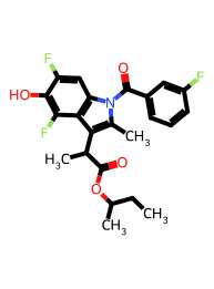 CCC(C)OC(=O)C(C)c1c(C)n(C(=O)c2cccc(F)c2)c2cc(F)c(O)c(F)c12